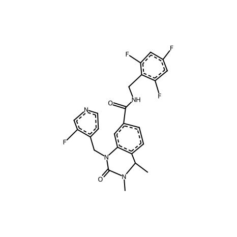 CC1c2ccc(C(=O)NCc3c(F)cc(F)cc3F)cc2N(Cc2ccncc2F)C(=O)N1C